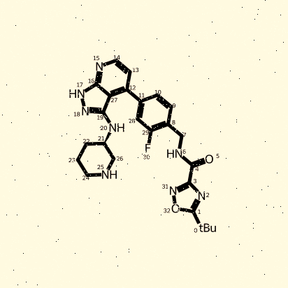 CC(C)(C)c1nc(C(=O)NCc2ccc(-c3ccnc4[nH]nc(N[C@@H]5CCCNC5)c34)cc2F)no1